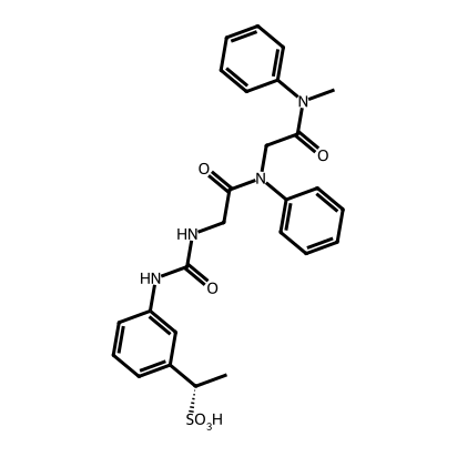 C[C@@H](c1cccc(NC(=O)NCC(=O)N(CC(=O)N(C)c2ccccc2)c2ccccc2)c1)S(=O)(=O)O